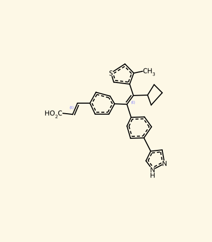 Cc1cscc1/C(=C(\c1ccc(/C=C/C(=O)O)cc1)c1ccc(-c2cn[nH]c2)cc1)C1CCC1